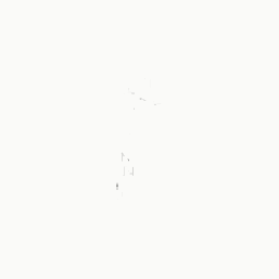 CS(=O)(=O)OC(CF)[C@H]1CCN(BC=O)C1